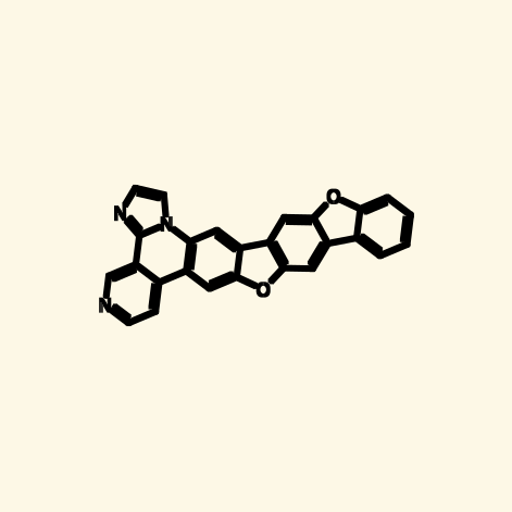 c1ccc2c(c1)oc1cc3c(cc12)oc1cc2c4ccncc4c4nccn4c2cc13